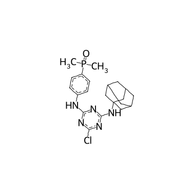 CP(C)(=O)c1ccc(Nc2nc(Cl)nc(NC34CC5CC(CC(C5)C3)C4)n2)cc1